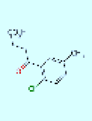 Cc1ccc(Cl)c(C(=O)CCC(=O)O)c1